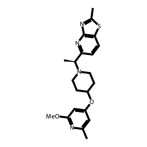 COc1cc(OC2CCN([C@@H](C)c3ccc4sc(C)nc4n3)CC2)cc(C)n1